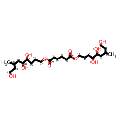 CC(CCO)CC(O)C(O)CCCOC(=O)CCCCC(=O)OCCCC(O)C(O)CC(C)CCO